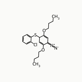 CCCCOC1=CC(Sc2ccccc2Cl)C(OCCCC)=CC1=[N+]=[N-]